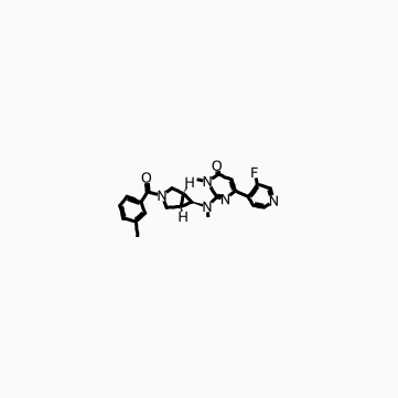 Cc1cccc(C(=O)N2C[C@@H]3[C@H](C2)[C@@H]3N(C)c2nc(-c3ccncc3F)cc(=O)n2C)c1